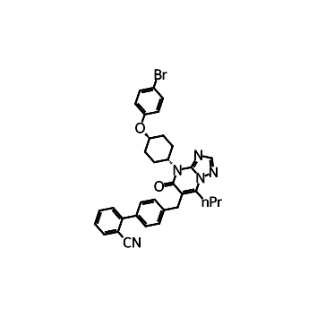 CCCc1c(Cc2ccc(-c3ccccc3C#N)cc2)c(=O)n([C@H]2CC[C@H](Oc3ccc(Br)cc3)CC2)c2ncnn12